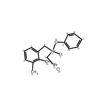 CC[N+](Cc1cccc(C)c1C)(CC(C)C)Oc1ccccc1.[Cl-]